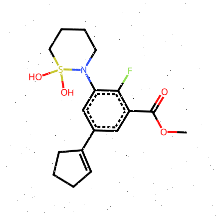 COC(=O)c1cc(C2=CCCC2)cc(N2CCCCS2(O)O)c1F